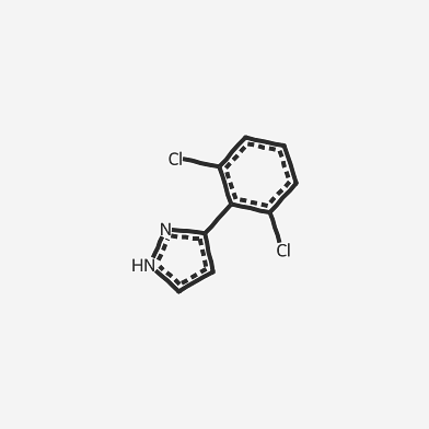 Clc1cccc(Cl)c1-c1cc[nH]n1